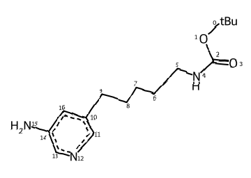 CC(C)(C)OC(=O)NCCCCCc1cncc(N)c1